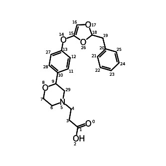 O=C(O)CCN1CCOC(c2ccc(OC3=COC(Cc4ccccc4)O3)cc2)C1